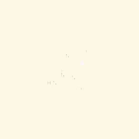 CC(C)/C(N)=C/N(NN)C(C)(C)C